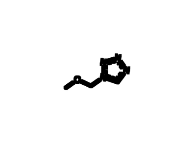 COCn1cnnn1